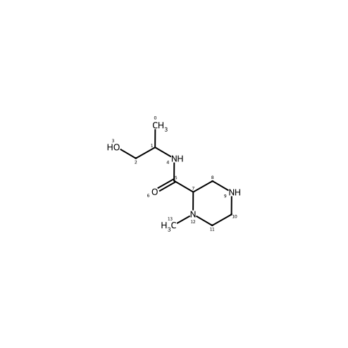 CC(CO)NC(=O)C1CNCCN1C